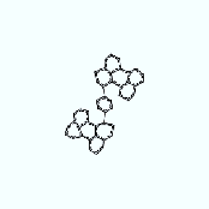 c1cc2cccc3c4c(-c5ccc(-c6ccc7cccc8c9cccc%10cccc(c6c78)c%109)cc5)ccc5cccc(c(c1)c23)c54